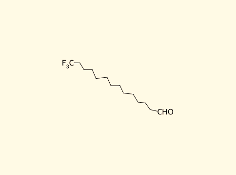 O=CCCCCCCCCCCCCC(F)(F)F